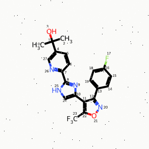 CC(C)(O)c1ccc(-c2nc(-c3c(-c4ccc(F)cc4)noc3C(F)(F)F)c[nH]2)nc1